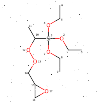 CCO[Si](OCC)(OCC)C(C)OOCC1CO1